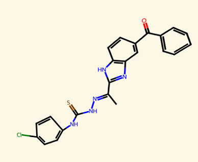 C/C(=N\NC(=S)Nc1ccc(Cl)cc1)c1nc2cc(C(=O)c3ccccc3)ccc2[nH]1